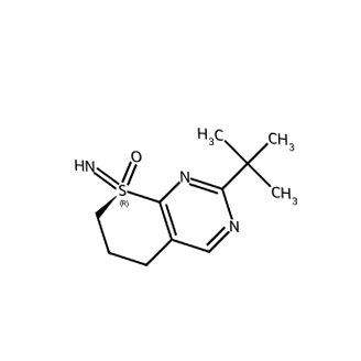 CC(C)(C)c1ncc2c(n1)[S@](=N)(=O)CCC2